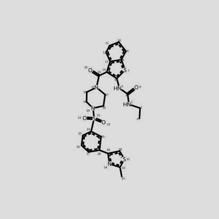 CCNC(=O)Nc1sc2ccccc2c1C(=O)N1CCN(S(=O)(=O)c2cccc(-c3csc(C)n3)c2)CC1